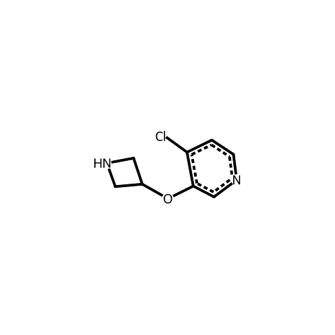 Clc1ccncc1OC1CNC1